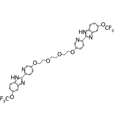 FC(F)(F)Oc1ccc2[nH]c(-c3ccc(OCCOCCOCCOc4ccc(-c5nc6cc(OC(F)(F)F)ccc6[nH]5)nc4)cn3)nc2c1